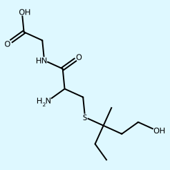 CCC(C)(CCO)SCC(N)C(=O)NCC(=O)O